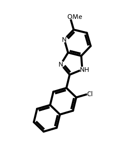 COc1ccc2[nH]c(-c3cc4ccccc4cc3Cl)nc2n1